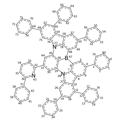 c1ccc(-c2cc3c4c(c2)c2c(-c5ccccc5)cc(-c5ccccc5)cc2n4-c2cc(-c4cccc(-c5ccccc5)n4)cc4c2B3c2cc(-c3ccccc3)cc3c5c(-c6ccccc6)cc(-c6ccccc6)cc5n-4c23)cc1